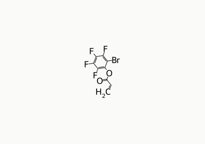 C=CC(=O)Oc1c(F)c(F)c(F)c(F)c1Br